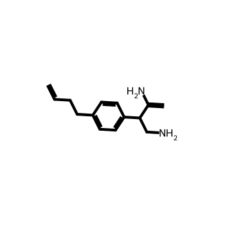 C=CCCc1ccc(C(CN)C(=C)N)cc1